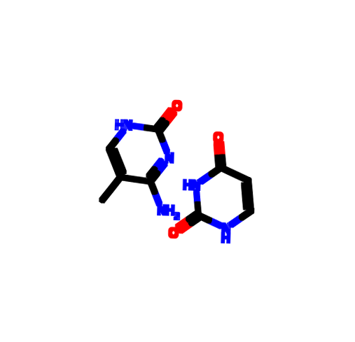 Cc1c[nH]c(=O)nc1N.O=c1cc[nH]c(=O)[nH]1